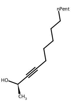 CCCCCCCCCCC#C[C@@H](C)O